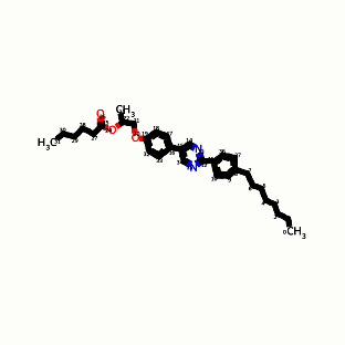 CCCCCCCCc1ccc(-c2ncc(-c3ccc(OCC(C)OC(=O)CCCCC)cc3)cn2)cc1